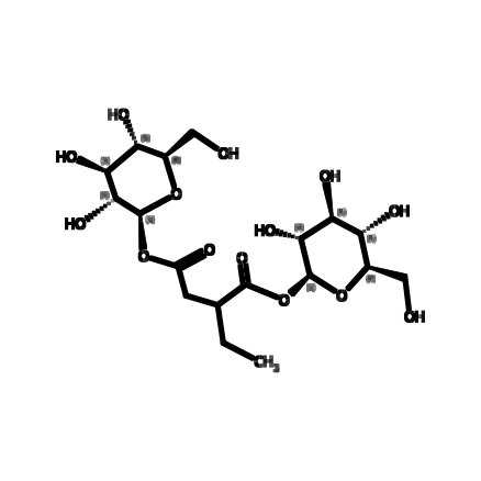 CCC(CC(=O)O[C@@H]1O[C@H](CO)[C@@H](O)[C@H](O)[C@H]1O)C(=O)O[C@@H]1O[C@H](CO)[C@@H](O)[C@H](O)[C@H]1O